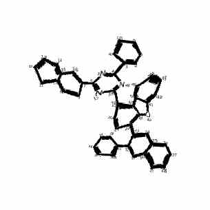 c1ccc(-c2nc(-c3ccc4ccccc4c3)nc(-c3ccc(-c4cc5ccccc5cc4-c4ccccc4)c4oc5ccccc5c34)n2)cc1